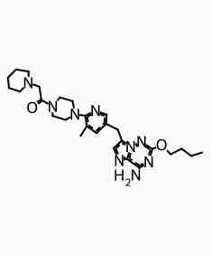 CCCCOc1nc(N)c2ncc(Cc3cnc(N4CCN(C(=O)CN5CCCCC5)CC4)c(C)c3)n2n1